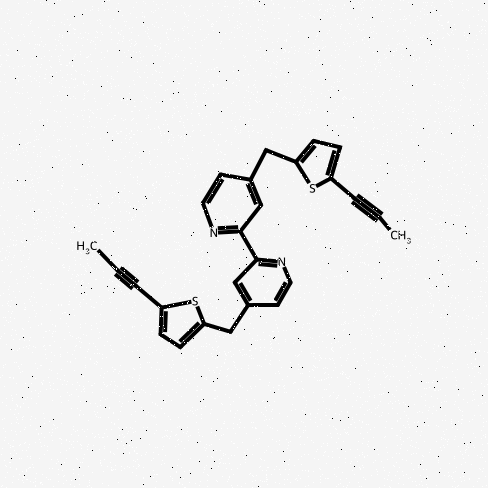 CC#Cc1ccc(Cc2ccnc(-c3cc(Cc4ccc(C#CC)s4)ccn3)c2)s1